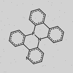 c1ccc2c(c1)-c1ccccc1P1c3ccccc3-c3ncccc3N21